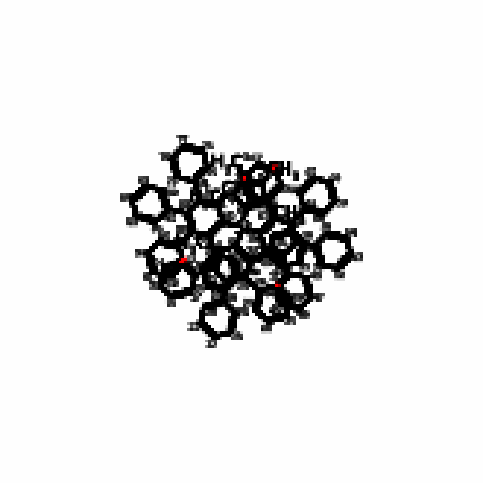 CC1=C(C)C(C)C([Si](c2c(C)c(-c3ccccc3)c(-c3ccccc3)c(-c3ccccc3)c2-c2ccccc2)(c2c(C)c(-c3ccccc3)c(-c3ccccc3)c(-c3ccccc3)c2-c2ccccc2)c2c(C)c(-c3ccccc3)c(-c3ccccc3)c(-c3ccccc3)c2-c2ccccc2)=C1C